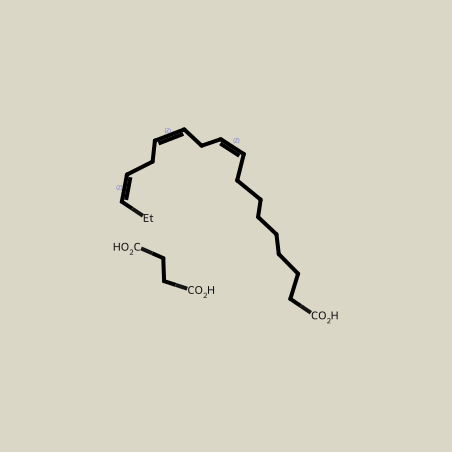 CC/C=C\C/C=C\C/C=C\CCCCCCCC(=O)O.O=C(O)CCC(=O)O